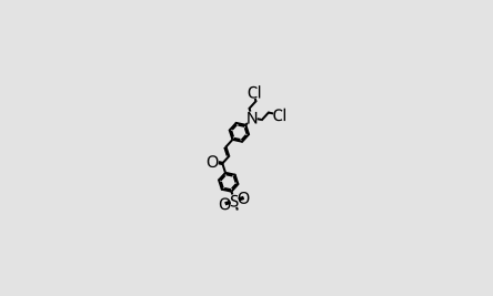 CS(=O)(=O)c1ccc(C(=O)C=Cc2ccc(N(CCCl)CCCl)cc2)cc1